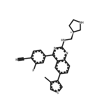 Cc1cscc1-c1ccc2nc(NC[C@H]3CCNC3)nc(-c3ccc(C#N)c(F)c3)c2c1